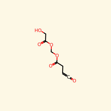 O=C=CCC(=O)OCOC(=O)CO